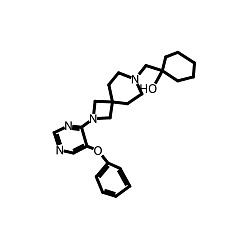 OC1(CN2CCC3(CC2)CN(c2ncncc2Oc2ccccc2)C3)CCCCC1